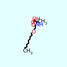 CCCCCCCCCCOCCC(=O)N[C@H](C)C(=O)O